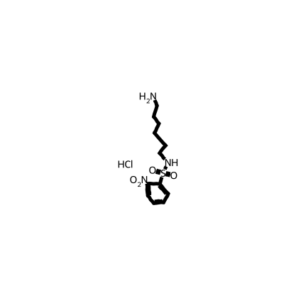 Cl.NCCCCCCNS(=O)(=O)c1ccccc1[N+](=O)[O-]